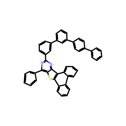 c1ccc(-c2ccc(-c3cccc(-c4cccc(-c5nc(-c6ccccc6)c6sc7c8ccccc8c8ccccc8c7c6n5)c4)c3)cc2)cc1